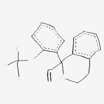 C=CC1(c2ccccc2OC(F)(F)F)NCCc2ccccc21